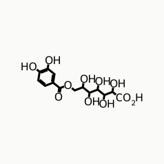 O=C(OCC(O)C(O)C(O)C(O)C(O)C(=O)O)c1ccc(O)c(O)c1